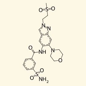 CS(=O)(=O)CCn1cc2cc(NC(=O)c3cccc(S(N)(=O)=O)c3)c(N3CCOCC3)cc2n1